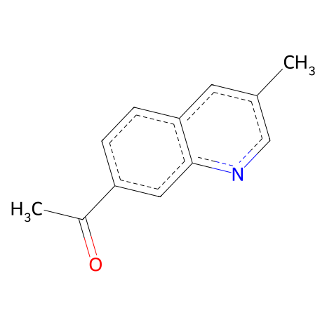 CC(=O)c1ccc2cc(C)cnc2c1